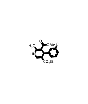 CCOC(=O)C1=CNC(C)=C(C(=O)OC)C1c1cccc(Cl)c1